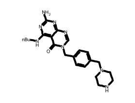 CCCCNc1nc(N)nc2ncn(Cc3ccc(CN4CCNCC4)cc3)c(=O)c12